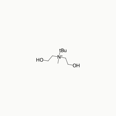 CC(C)(C)[N+](C)(CCO)CCO